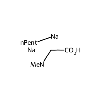 CCCC[CH2][Na].CNCC(=O)O.[Na]